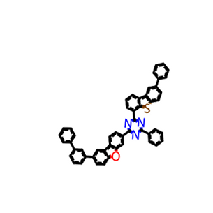 c1ccc(-c2cccc(-c3ccc4oc5cc(-c6nc(-c7ccccc7)nc(-c7cccc8c7sc7ccc(-c9ccccc9)cc78)n6)ccc5c4c3)c2)cc1